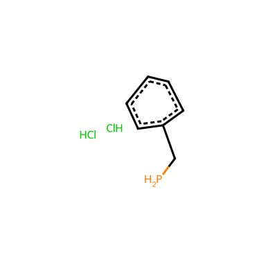 Cl.Cl.PCc1ccccc1